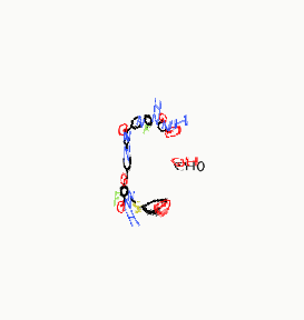 O=C1CCC(Nc2ccc(N3CCC(C(=O)N4CC(N5CCC(COc6cc(F)c7c(=O)[nH]c(CSC8CCOCC8)nc7c6)CC5)C4)CC3)c(F)c2)C(=O)N1.O=CO